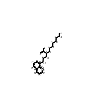 C=C(C)C(CCCCCCCC)CCCc1cccc2cccnc12